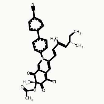 CC[C@H](C)/C=C(C)/C=C/C1=CC2=C(Cl)C(=O)[C@](C)(OC(C)=O)C(=O)C2=CN1c1ccc(-c2ccc(C#N)cc2)cc1